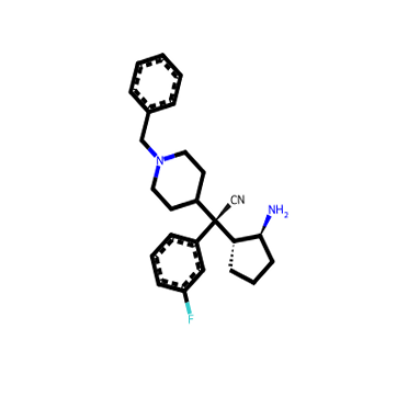 N#C[C@@](c1cccc(F)c1)(C1CCN(Cc2ccccc2)CC1)[C@H]1CCC[C@@H]1N